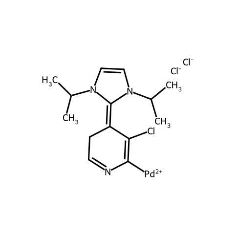 CC(C)N1C=CN(C(C)C)C1=C1CC=N[C]([Pd+2])=C1Cl.[Cl-].[Cl-]